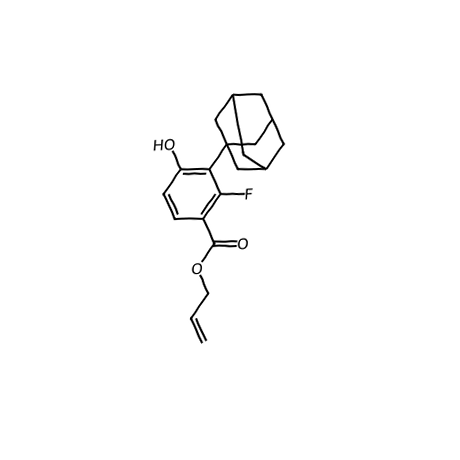 C=CCOC(=O)c1ccc(O)c(C23CC4CC(CC(C4)C2)C3)c1F